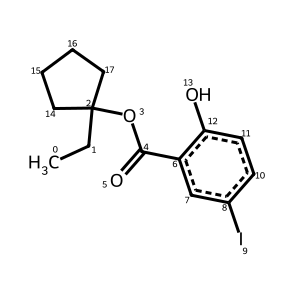 CCC1(OC(=O)c2cc(I)ccc2O)CCCC1